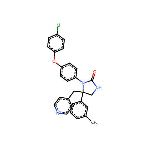 O=C1NCC(Cc2ccncc2)(c2cccc(C(F)(F)F)c2)N1c1ccc(Oc2ccc(Cl)cc2)cc1